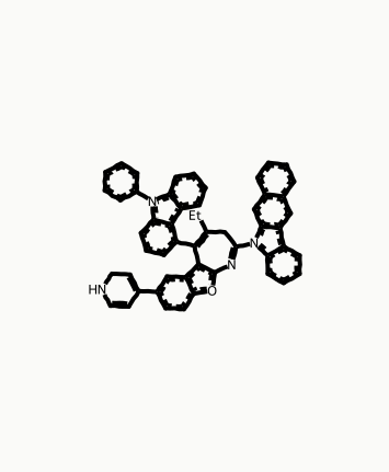 CCC1=C(c2cccc3c2c2ccccc2n3-c2ccccc2)c2c(oc3ccc(C4=CCNC=C4)cc23)N=C(n2c3ccccc3c3cc4ccccc4cc32)C1